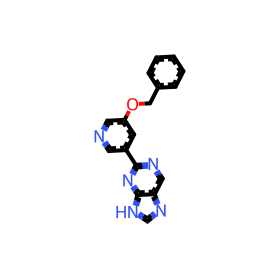 c1ccc(COc2cncc(-c3ncc4nc[nH]c4n3)c2)cc1